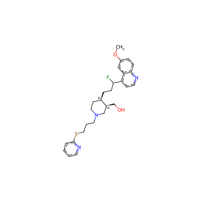 COc1ccc2nccc(C(F)CC[C@@H]3CCN(CCCSc4ccccn4)C[C@@H]3CO)c2c1